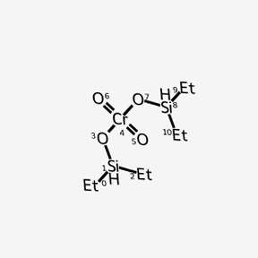 CC[SiH](CC)[O][Cr](=[O])(=[O])[O][SiH](CC)CC